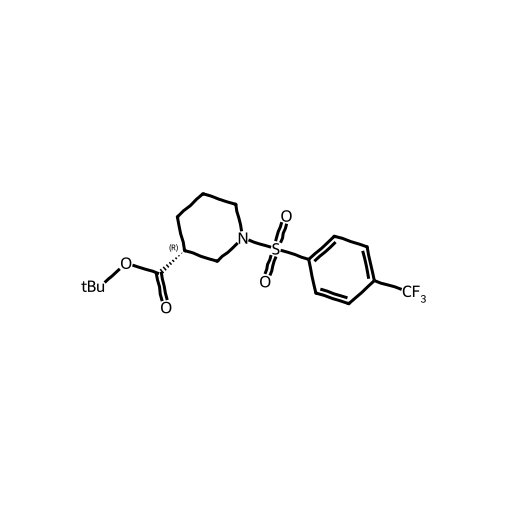 CC(C)(C)OC(=O)[C@@H]1CCCN(S(=O)(=O)c2ccc(C(F)(F)F)cc2)C1